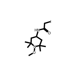 CON1C(C)(C)CC(NC(=O)CI)CC1(C)C